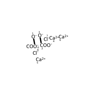 O=C([O-])[O-].O=C([O-])[O-].[Ca+2].[Ca+2].[Ca+2].[Cl-].[Cl-]